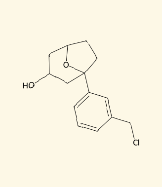 OC1CC2CCC(c3cccc(CCl)c3)(C1)O2